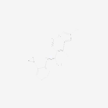 N/C(=N\c1ccccc1C1CC1)c1cnn2cc(Br)cc2c1Cl